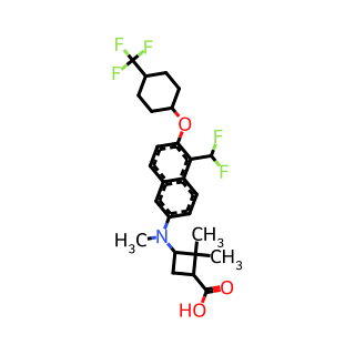 CN(c1ccc2c(C(F)F)c(OC3CCC(C(F)(F)F)CC3)ccc2c1)C1CC(C(=O)O)C1(C)C